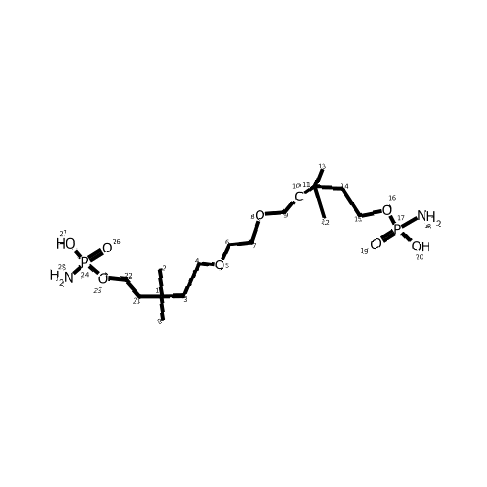 CC(C)(CCOCCOCCC(C)(C)CCOP(N)(=O)O)CCOP(N)(=O)O